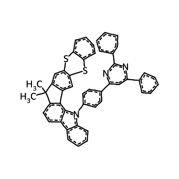 CC1(C)c2cc3c(cc2-c2c1ccc1c4ccccc4n(-c4ccc(-c5cc(-c6ccccc6)nc(-c6ccccc6)n5)cc4)c21)Sc1ccccc1S3